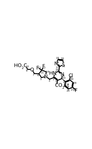 CCOC(=O)C1=C(CN2CC(COCC(=O)O)C(F)(F)C2)NC(c2nccs2)=N[C@H]1c1ccc(F)cc1Cl